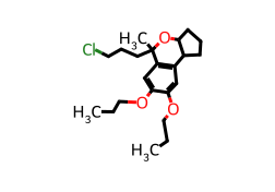 CCCOc1cc2c(cc1OCCC)C(C)(CCCCl)OC1CCCC21